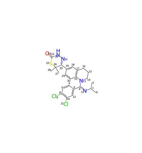 CC(C)/N=C(/c1ccc(Cl)c(Cl)c1)N1CCCc2cc(C3=NNC(=O)SC3(C)C)ccc21